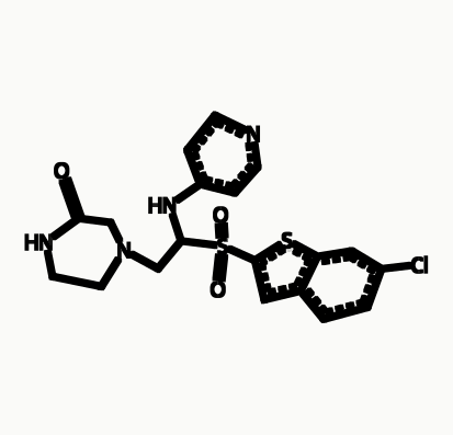 O=C1CN(CC(Nc2ccncc2)S(=O)(=O)c2cc3ccc(Cl)cc3s2)CCN1